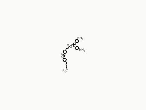 [CH2]C(COC(=O)/C=C/c1ccc(C(F)(F)Oc2ccc(CCCCCC(F)(F)F)cc2)cc1)(Cc1ccc(N)cc1)Cc1ccc(N)cc1